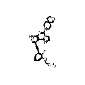 CCOc1cccc(C#Cc2n[nH]c3nc(N4CCC5(CCOC5)CC4)n4ccnc4c23)c1F